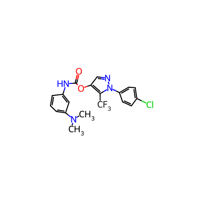 CN(C)c1cccc(NC(=O)Oc2cnn(-c3ccc(Cl)cc3)c2C(F)(F)F)c1